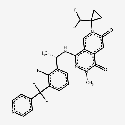 C[C@H](Nc1nn(C)c(=O)c2cc(=O)n(C3(C(F)F)CC3)cc12)c1cccc(C(F)(F)c2ccncc2)c1F